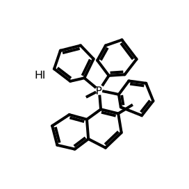 Cc1ccc2ccccc2c1P(C)(c1ccccc1)(c1ccccc1)c1ccccc1.I